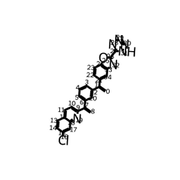 C=C(c1cccc(C(=C)c2ccc3ccc(Cl)cc3n2)c1)c1ccc2oc(-c3nnn[nH]3)nc2c1